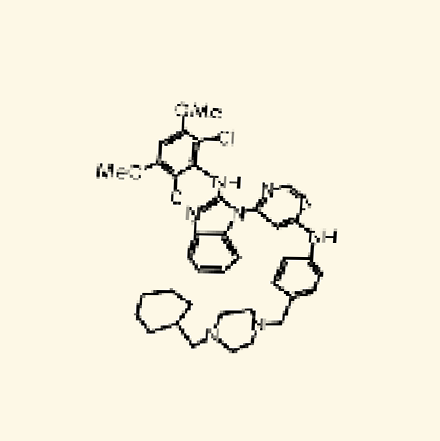 COc1cc(OC)c(Cl)c(Nc2nc3ccccc3n2-c2cc(Nc3ccc(CN4CCN(CC5CCCCC5)CC4)cc3)ncn2)c1Cl